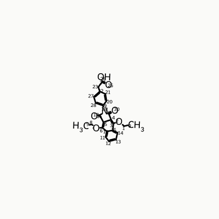 CCOc1c2c(c(OCC)c3ccccc13)C(=O)N(c1ccc(CC(=O)O)cc1)C2=O